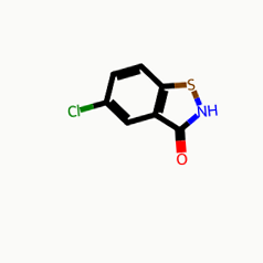 O=c1[nH]sc2ccc(Cl)cc12